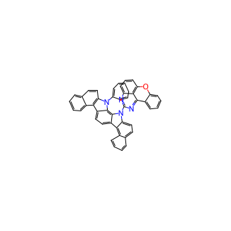 C1=CCC=CC(n2c3ccc4ccccc4c3c3ccc4c5c6ccccc6ccc5n(-c5nc6c7c(cccc7n5)Oc5ccccc5-6)c4c32)=C1